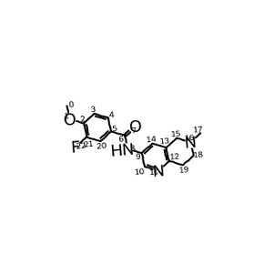 COc1ccc(C(=O)Nc2cnc3c(c2)CN(C)CC3)cc1F